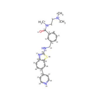 CN(C)CCN(C)C(=O)c1cccc(CNc2nc3ccc(-c4ccncc4)cc3s2)c1